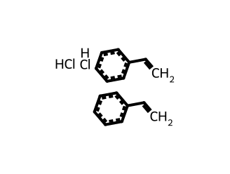 C=Cc1ccccc1.C=Cc1ccccc1.Cl.Cl